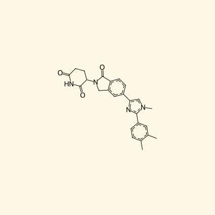 Cc1ccc(-c2nc(-c3ccc4c(c3)CN(C3CCC(=O)NC3=O)C4=O)cn2C)cc1C